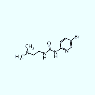 CN(C)CCNC(=O)Nc1ccc(Br)cn1